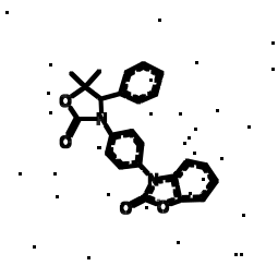 CC1(C)OC(=O)N(c2ccc(-n3c(=O)oc4ccccc43)cc2)C1c1ccccc1